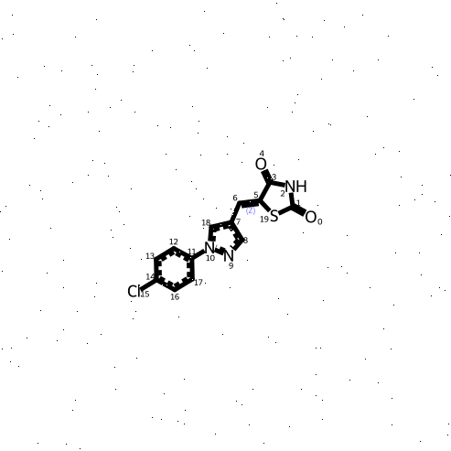 O=C1NC(=O)/C(=C/c2cnn(-c3ccc(Cl)cc3)c2)S1